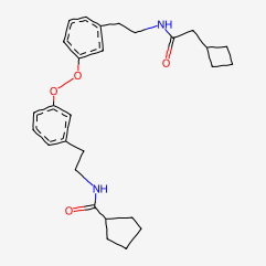 O=C(CC1CCC1)NCCc1cccc(OOc2cccc(CCNC(=O)C3CCCC3)c2)c1